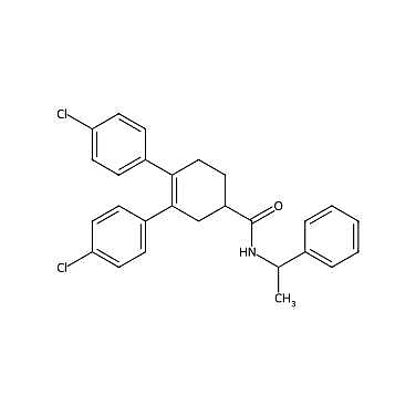 CC(NC(=O)C1CCC(c2ccc(Cl)cc2)=C(c2ccc(Cl)cc2)C1)c1ccccc1